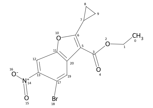 CCOC(=O)c1c(C2CC2)oc2cc([N+](=O)[O-])c(Br)cc12